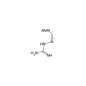 CN/C=N\NC(=N)N